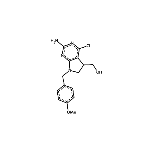 COc1ccc(CN2CC(CO)c3c(Cl)nc(N)nc32)cc1